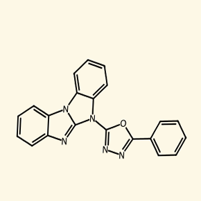 c1ccc(-c2nnc(-n3c4ccccc4n4c5ccccc5nc34)o2)cc1